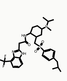 CC(C)Cc1ccc(S(=O)(=O)CC2CC(N(C)C(C)C)CCC2NC(=O)Cc2nc3c(C(F)(F)F)cccc3[nH]2)cc1